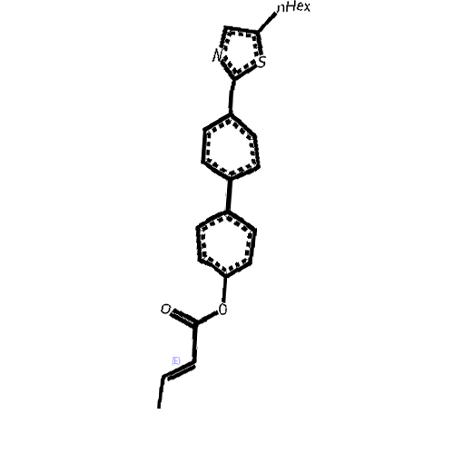 C/C=C/C(=O)Oc1ccc(-c2ccc(-c3ncc(CCCCCC)s3)cc2)cc1